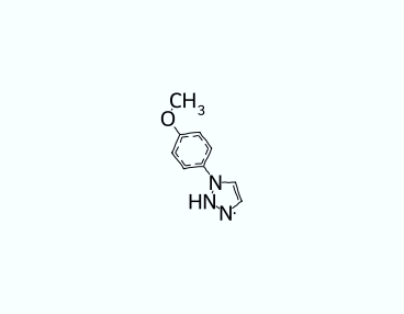 COc1ccc(N2C=C[N]N2)cc1